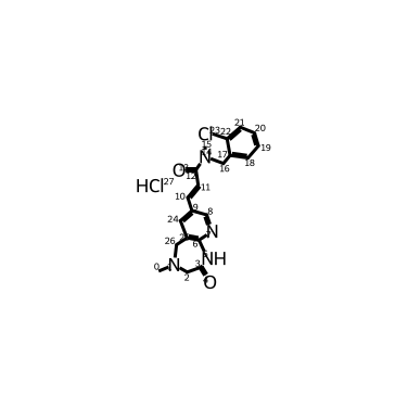 CN1CC(=O)Nc2ncc(C=CC(=O)N(C)Cc3ccccc3Cl)cc2C1.Cl